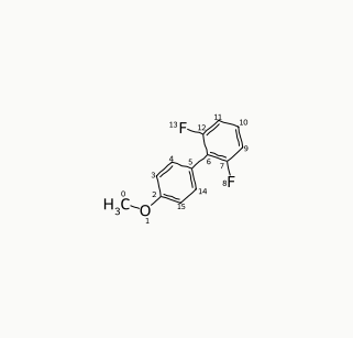 COc1ccc(-c2c(F)cccc2F)cc1